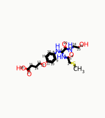 CSCC(=O)NC(Nc1ccc(OCCCC(=O)O)cc1)C(=O)NCCO